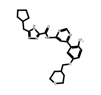 O=C(Nc1cc(-c2cc(OCC3CCOCC3)ccc2C(F)(F)F)ncn1)c1nnc(CC2CCCC2)[nH]1